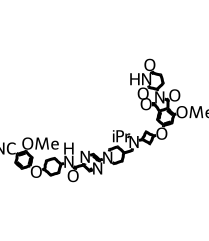 COc1cc(OC2CCC(NC(=O)c3cnc(N4CCC(CN(C(C)C)C5CC(Oc6cc(OC)c7c(c6)C(=O)N([C@@H]6CCC(=O)NC6=O)C7=O)C5)CC4)cn3)CC2)ccc1C#N